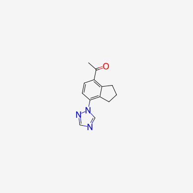 CC(=O)c1ccc(-n2cncn2)c2c1CCC2